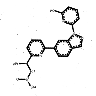 CCC[C@H](N[S@+]([O-])C(C)(C)C)c1cccc(-c2ccc3cnn(-c4cccc(C(C)=O)n4)c3c2)n1